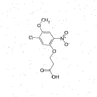 COc1cc([N+](=O)[O-])c(OCCC(=O)O)cc1Cl